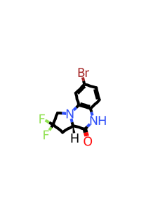 O=C1Nc2ccc(Br)cc2N2CC(F)(F)C[C@@H]12